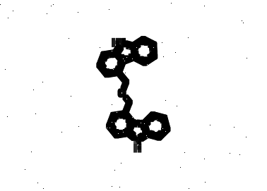 c1ccc2c(c1)[nH]c1cccc(COCc3cccc4[nH]c5ccccc5c34)c12